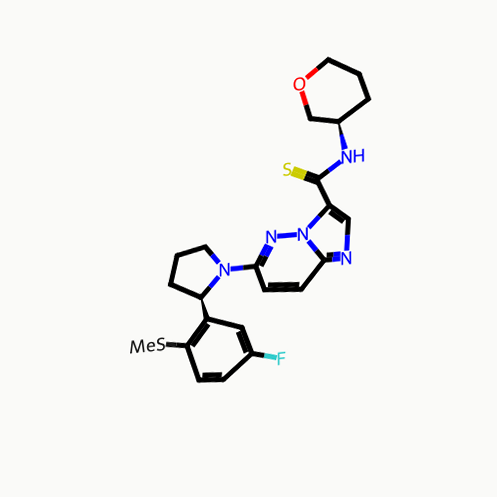 CSc1ccc(F)cc1[C@H]1CCCN1c1ccc2ncc(C(=S)N[C@@H]3CCCOC3)n2n1